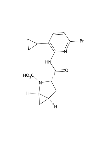 O=C(Nc1nc(Br)ccc1C1CC1)[C@@H]1C[C@H]2C[C@H]2N1C(=O)O